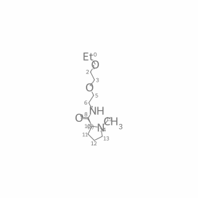 CCOCCOCCNC(=O)[C@@H]1CCCN1C